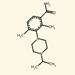 Cc1ccc(C(N)=O)c(C)c1N1CCN(C(C)C)CC1